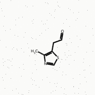 Cc1ncsc1CC=O